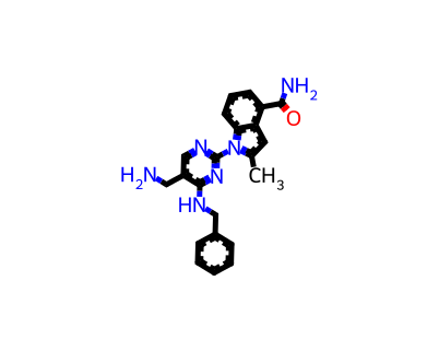 Cc1cc2c(C(N)=O)cccc2n1-c1ncc(CN)c(NCc2ccccc2)n1